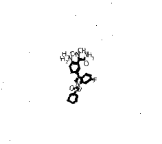 CN(C)C(C(N)=O)c1cc(-c2cn(S(=O)(=O)c3ccccc3)c3cc(F)ccc23)ccc1N